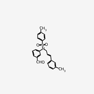 Cc1ccc(S(=O)(=O)N(CC=Cc2cccc(C)c2)c2cccc(C=O)c2)cc1